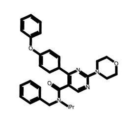 CC(C)N(Cc1ccccc1)C(=O)c1cnc(N2CCOCC2)nc1C1C=CC(Oc2ccccc2)=CC1